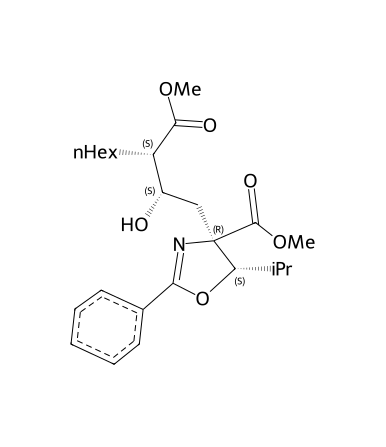 CCCCCC[C@H](C(=O)OC)[C@@H](O)C[C@@]1(C(=O)OC)N=C(c2ccccc2)O[C@H]1C(C)C